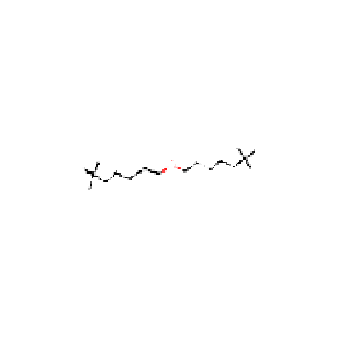 CC(C)(C)CCCCCOCCCCCC(C)(C)C